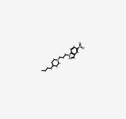 CCCCC1CCN(CCCn2ncc3cc([N+](=O)[O-])ccc32)CC1